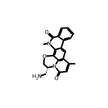 Cc1cc(=O)n2c3c(c4c(cc13)c1ccccc1c(=O)n4C)OC[C@H]2CN